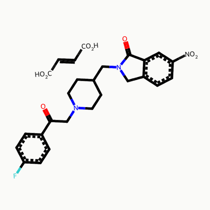 O=C(CN1CCC(CN2Cc3ccc([N+](=O)[O-])cc3C2=O)CC1)c1ccc(F)cc1.O=C(O)/C=C/C(=O)O